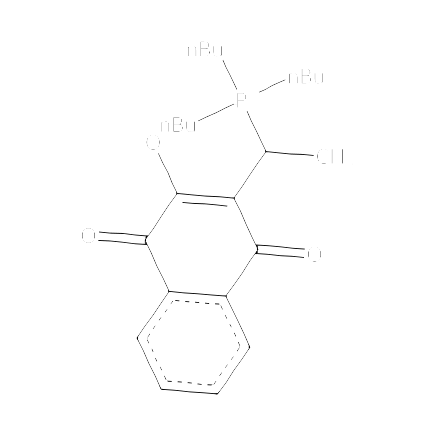 CCCC[P+](CCCC)(CCCC)C(C)C1=C([O-])C(=O)c2ccccc2C1=O